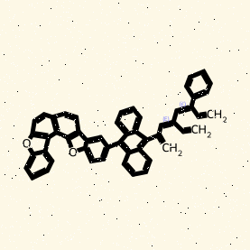 C=CC(=C\C(=C)c1c2ccccc2c(-c2ccc3oc4c(ccc5ccc6oc7ccccc7c6c54)c3c2)c2ccccc12)/C=C(\C=C)c1ccccc1